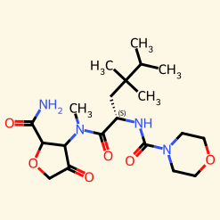 CC(C)C(C)(C)C[C@H](NC(=O)N1CCOCC1)C(=O)N(C)C1C(=O)COC1C(N)=O